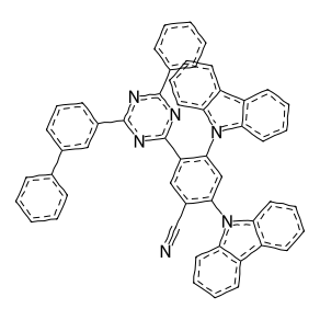 N#Cc1cc(-c2nc(-c3ccccc3)nc(-c3cccc(-c4ccccc4)c3)n2)c(-n2c3ccccc3c3ccccc32)cc1-n1c2ccccc2c2ccccc21